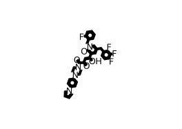 O=C(C=C(O)c1cc(Cc2ccc(F)c(F)c2F)cn(Cc2ccccc2F)c1=O)C(=O)N1CCN(c2ccc(-n3cccc3)cc2)CC1